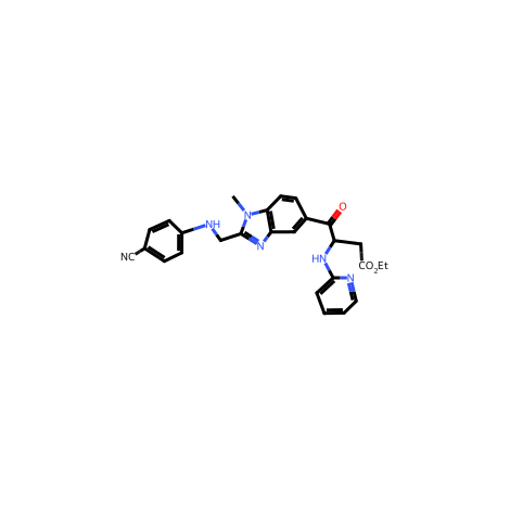 CCOC(=O)CC(Nc1ccccn1)C(=O)c1ccc2c(c1)nc(CNc1ccc(C#N)cc1)n2C